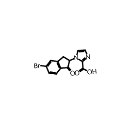 O=C(O)c1nccn1C1Cc2cc(Br)ccc2C1=O